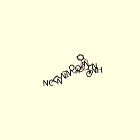 Cc1c(N2Cc3ccccc3[C@H]2[C@H]2CC[C@H](CC(=O)N3CCN(c4ccc(C#N)cn4)CC3)O2)cn[nH]c1=O